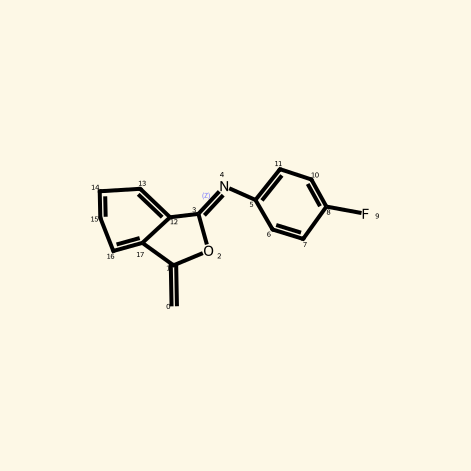 C=C1O/C(=N\c2ccc(F)cc2)c2ccccc21